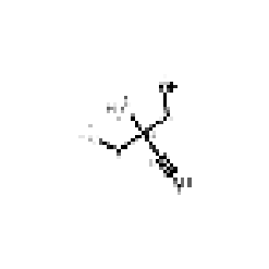 C#CC(C)(CO)CO